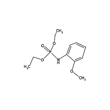 CCOP(=O)(Nc1ccccc1OC)OCC